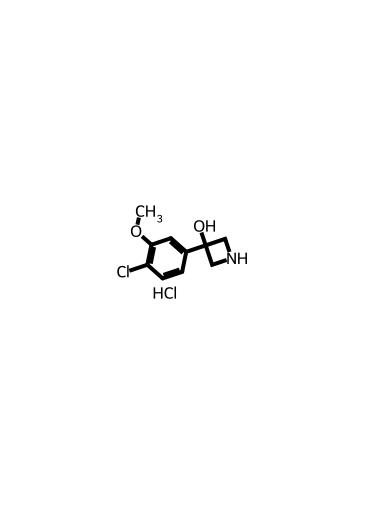 COc1cc(C2(O)CNC2)ccc1Cl.Cl